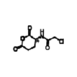 O=C(CCl)N[C@H]1CCC(=O)OC1=O